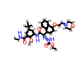 CCNC(=O)c1cc(C(C)(C)C)cc(NC(=O)/C(=N/NC(=O)OCC)c2ccc(OCCN3CCOCC3)c3ccccc23)c1OC